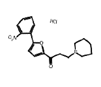 Cl.O=C(CCN1CCCCC1)c1ccc(-c2ccccc2[N+](=O)[O-])o1